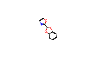 c1ccc2c(c1)OC(c1ncco1)O2